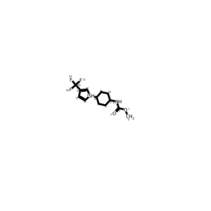 COC(=O)NC1CCC([SH]2C=CC(C(F)(F)F)=C2)CC1